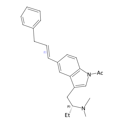 CC[C@H](Cc1cn(C(C)=O)c2ccc(/C=C/Cc3ccccc3)cc12)N(C)C